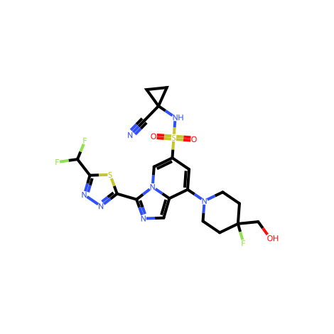 N#CC1(NS(=O)(=O)c2cc(N3CCC(F)(CO)CC3)c3cnc(-c4nnc(C(F)F)s4)n3c2)CC1